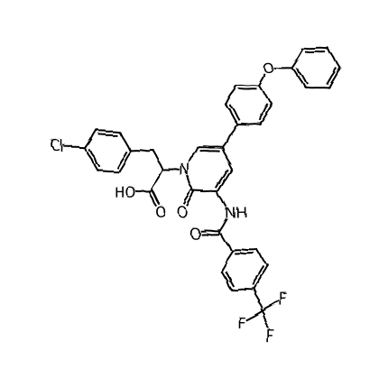 O=C(Nc1cc(-c2ccc(Oc3ccccc3)cc2)cn(C(Cc2ccc(Cl)cc2)C(=O)O)c1=O)c1ccc(C(F)(F)F)cc1